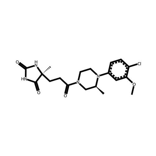 COc1cc(N2CCN(C(=O)CC[C@]3(C)NC(=O)NC3=O)C[C@@H]2C)ccc1Cl